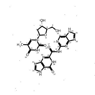 Cc1cn([C@H]2C[C@H](O)[C@@H](CO)O2)c(=O)[nH]c1=O.O=C(Nc1ncc2[nH]cnc2n1)c1nc2nc[nH]c2c(=O)[nH]1